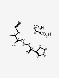 C=CCC(C)C(=O)OCCC(=O)C1=CCCC1.O=C(O)CC(=O)O